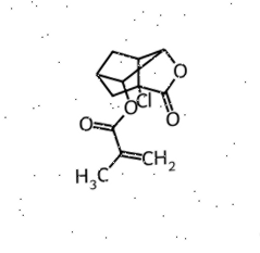 C=C(C)C(=O)OC1C2CC3C1OC(=O)C3(Cl)C2